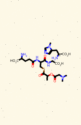 CC(OC(=O)CN(C)C)C(=O)SCC(NC(=O)CCC(N)C(=O)O)C(=O)NCC(=O)O.Cn1cncc1C[C@H](N)C(=O)O